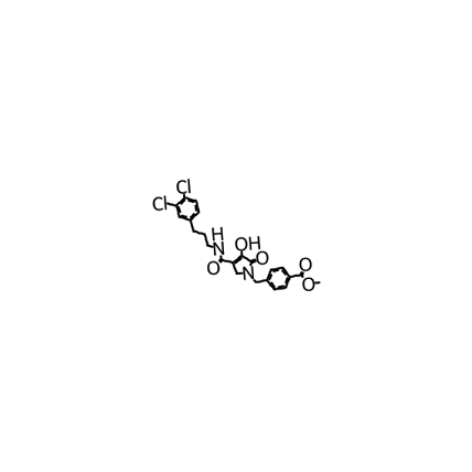 COC(=O)c1ccc(CN2CC(C(=O)NCCCc3ccc(Cl)c(Cl)c3)=C(O)C2=O)cc1